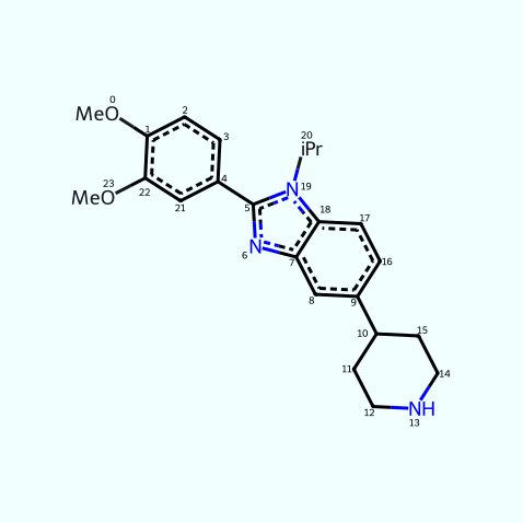 COc1ccc(-c2nc3cc(C4CCNCC4)ccc3n2C(C)C)cc1OC